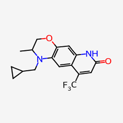 CC1COc2cc3[nH]c(=O)cc(C(F)(F)F)c3cc2N1CC1CC1